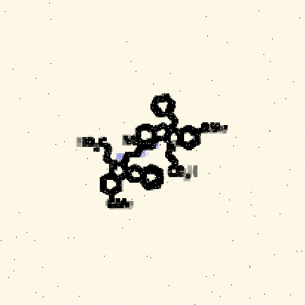 COc1ccc2c(c1)C(Cc1ccccc1)(Cc1ccccc1)C(/C=C/C(C#N)=C/C=C1/N(CCC(=O)O)c3ccc(OC)cc3C1(Cc1ccccc1)Cc1ccccc1)=[N+]2CCC(=O)O